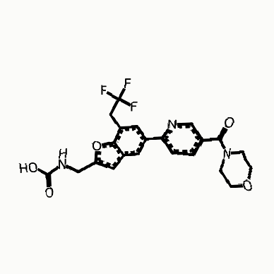 O=C(O)NCc1cc2cc(-c3ccc(C(=O)N4CCOCC4)cn3)cc(CC(F)(F)F)c2o1